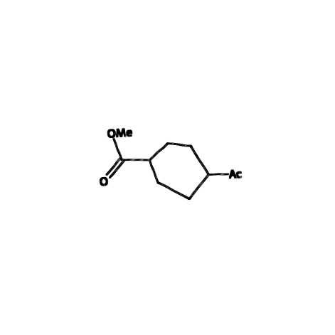 COC(=O)C1CCC(C(C)=O)CC1